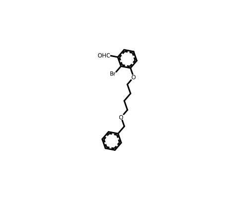 O=Cc1cccc(OCCCCOCc2ccccc2)c1Br